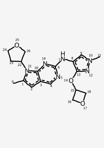 Cc1cc2cnc(Nc3cn(C)nc3OC3COC3)nc2n1C1CCOC1